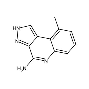 Cc1cccc2nc(N)c3n[nH]cc3c12